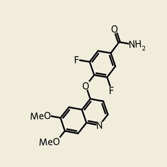 COc1cc2nccc(Oc3c(F)cc(C(N)=O)cc3F)c2cc1OC